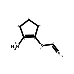 NC1=C(SC=S)CCC1